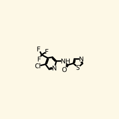 O=C(Nc1cc(C(F)(F)F)c(Cl)cn1)c1cncs1